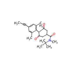 CC#Cc1cc(C)c(C2C(=O)CC(C(=O)N(C)C(C)(C)C)CC2=O)c(C)c1